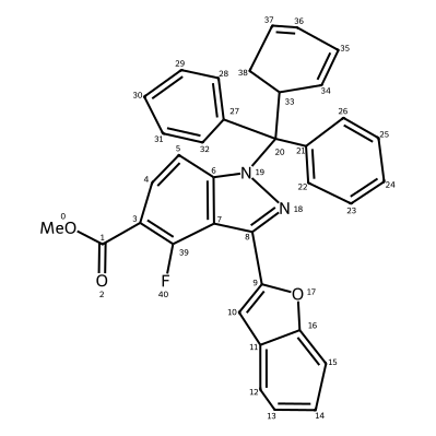 COC(=O)c1ccc2c(c(-c3cc4ccccc4o3)nn2C(c2ccccc2)(c2ccccc2)C2C=CC=CC2)c1F